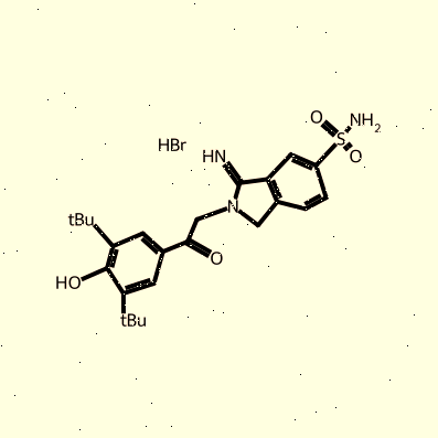 Br.CC(C)(C)c1cc(C(=O)CN2Cc3ccc(S(N)(=O)=O)cc3C2=N)cc(C(C)(C)C)c1O